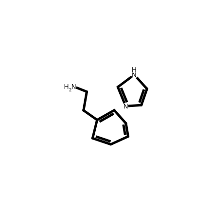 NCCc1ccccc1.c1c[nH]cn1